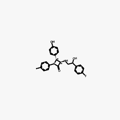 Cc1ccc(N2C(=O)[C@H](NCC(O)c3ccc(F)cc3)[C@H]2c2ccc(O)cc2)cc1